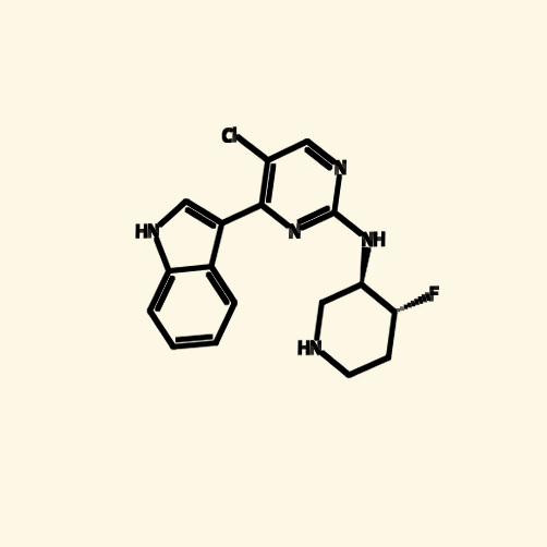 F[C@@H]1CCNC[C@H]1Nc1ncc(Cl)c(-c2c[nH]c3ccccc23)n1